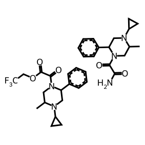 CC1CN(C(=O)C(=O)OCC(F)(F)F)C(c2ccccc2)CN1C1CC1.CC1CN(C(=O)C(N)=O)C(c2ccccc2)CN1C1CC1